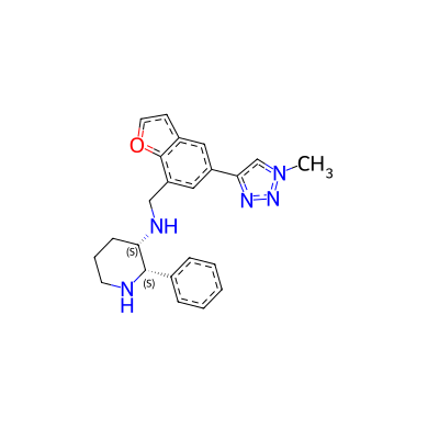 Cn1cc(-c2cc(CN[C@H]3CCCN[C@H]3c3ccccc3)c3occc3c2)nn1